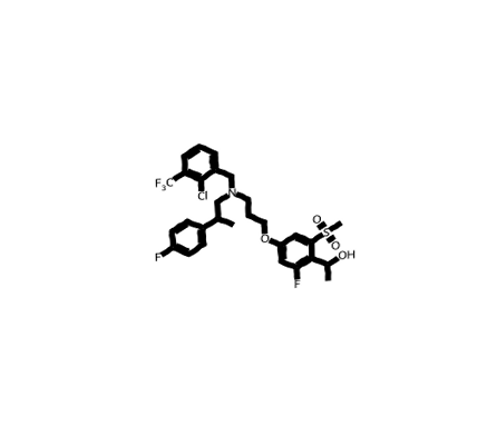 CC(O)c1c(F)cc(OCCCN(Cc2cccc(C(F)(F)F)c2Cl)CC(C)c2ccc(F)cc2)cc1S(C)(=O)=O